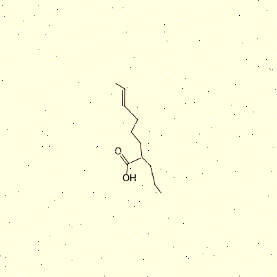 C/C=C/CCCC(CCC)C(=O)O